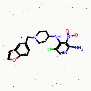 Nc1ncc(Cl)c(NC2CCN(Cc3ccc4occc4c3)CC2)c1[N+](=O)[O-]